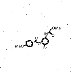 COCC(=O)Nc1ccc(Br)c(OC(=O)c2ccc(OC)cc2)c1